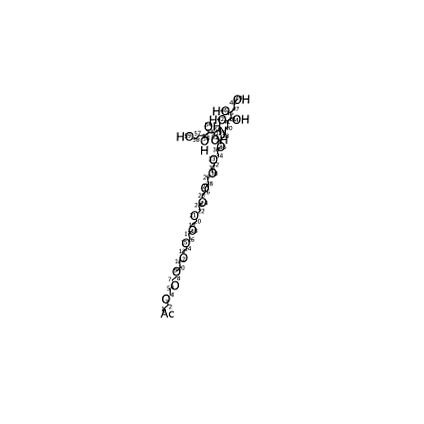 CC(=O)CCOCCOCCOCCOCCOCCOCCOCCOCCOCCOCCOCCOCCN(CC(O)C(O)C(O)CCO)CC(O)C(O)C(O)CCO